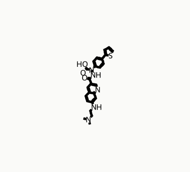 CN(C)CCNc1ccc2cc(C(=O)NN(C(=O)O)c3ccc(-c4cccs4)cc3)cnc2c1